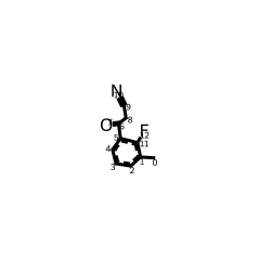 Cc1cccc(C(=O)CC#N)c1F